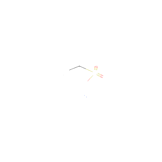 N.O=C(O)CS(=O)(=O)O